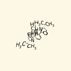 C=[CH][Ru]([Cl])([Cl])[C]1(C2=N[C@H](C(C)C)CO2)C=CC=C(C2=N[C@H](C(C)C)CO2)N1